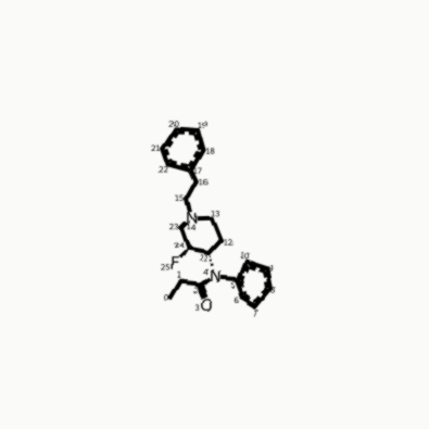 CCC(=O)N(c1ccccc1)[C@H]1CCN(CCc2ccccc2)C[C@@H]1F